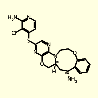 Nc1nccc(Sc2cnc3c(n2)OC[C@H]2C[C@@H](N)c4ccccc4OCCN32)c1Cl